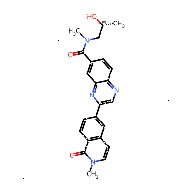 C[C@@H](O)CN(C)C(=O)c1ccc2ncc(-c3ccc4c(=O)n(C)ccc4c3)nc2c1